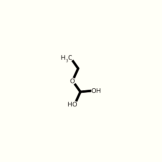 CCOC(O)O